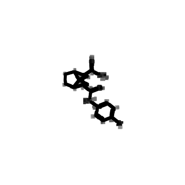 CC1(C)C2CCC1C(C(=O)Nc1ccc(Br)cc1)C2C(N)=O